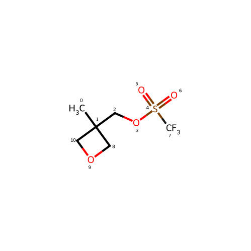 CC1(COS(=O)(=O)C(F)(F)F)COC1